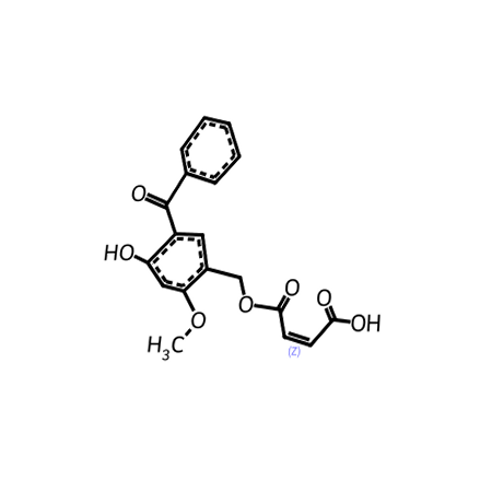 COc1cc(O)c(C(=O)c2ccccc2)cc1COC(=O)/C=C\C(=O)O